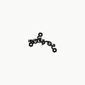 O=C(Cc1ccccc1)N[C@H](CNc1nc(CN2CCN(C(=O)Cc3ccccc3)CC2)cs1)Cc1c[nH]c2ccccc12